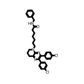 O=C(CCCCCCN1CCCc2nc(-c3ccc(Cl)cc3)c(-c3ccc(Cl)cc3)nc21)NCc1ccccc1